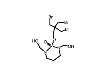 O=P1(OCC(CBr)(CBr)CBr)N(CO)CCCN1CO